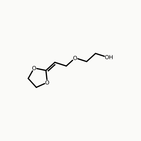 OCCOCC=C1OCCO1